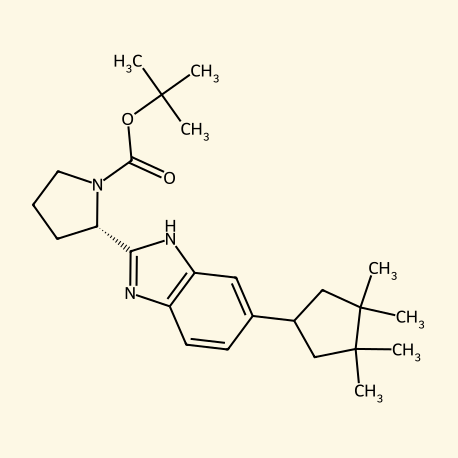 CC(C)(C)OC(=O)N1CCC[C@H]1c1nc2ccc(C3CC(C)(C)C(C)(C)C3)cc2[nH]1